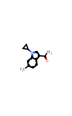 O=C(c1cn(C2CC2)c2cc(C(F)(F)F)ccc12)C(F)(F)F